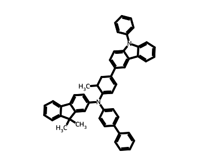 CC1CC(c2ccc3c(c2)c2ccccc2n3-c2ccccc2)=CC=C1N(c1ccc(-c2ccccc2)cc1)c1ccc2c(c1)C(C)(C)c1ccccc1-2